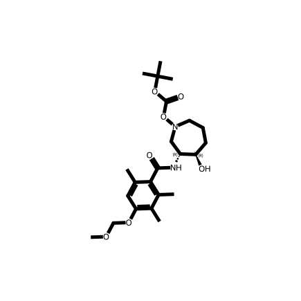 COCOc1cc(C)c(C(=O)N[C@@H]2CN(OC(=O)OC(C)(C)C)CCC[C@H]2O)c(C)c1C